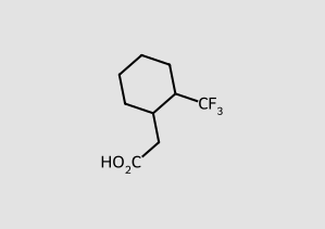 O=C(O)CC1CCCCC1C(F)(F)F